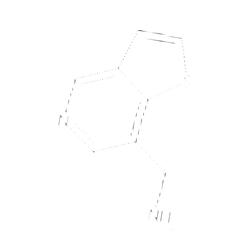 NCc1cncc2ccsc12